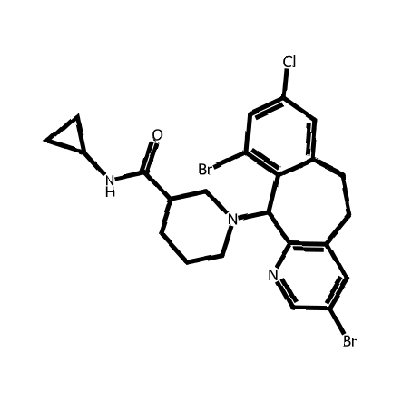 O=C(NC1CC1)C1CCCN(C2c3ncc(Br)cc3CCc3cc(Cl)cc(Br)c32)C1